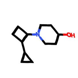 OC1CCN(C2CCC2C2CC2)CC1